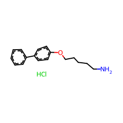 Cl.NCCCCCOc1ccc(-c2ccccc2)cc1